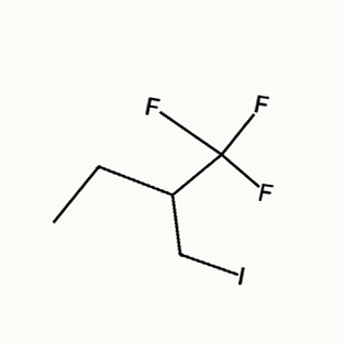 CCC(CI)C(F)(F)F